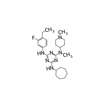 CCc1ccc(Nc2nc(NC3CCCCCC3)nc(N(C)C3CCN(C)CC3)n2)cc1F